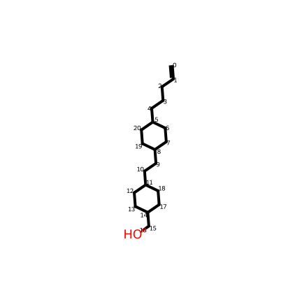 C=CCCCC1CCC(CCC2CCC(CO)CC2)CC1